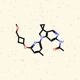 COCC1CC(Oc2cc(C)cc(N3CC4(CC4)c4cnc(NC(C)=O)cc43)n2)C1